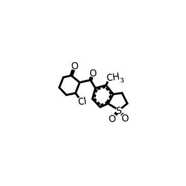 Cc1c(C(=O)C2C(=O)CCCC2Cl)ccc2c1CCS2(=O)=O